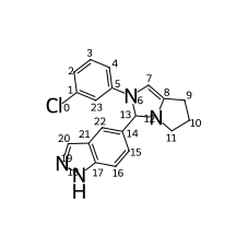 Clc1cccc(N2C=C3CCCN3C2c2ccc3[nH]ncc3c2)c1